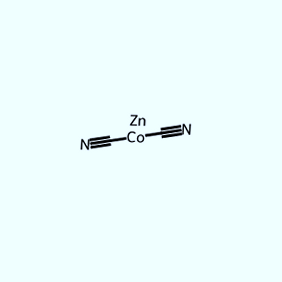 N#[C][Co][C]#N.[Zn]